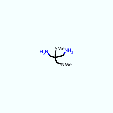 CNCC(CN)(CN)SC